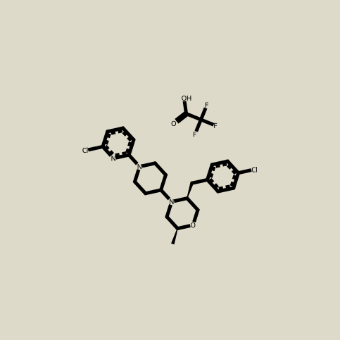 C[C@H]1CN(C2CCN(c3cccc(Cl)n3)CC2)[C@@H](Cc2ccc(Cl)cc2)CO1.O=C(O)C(F)(F)F